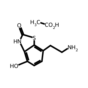 CC(=O)O.NCCc1ccc(O)c2[nH]c(=O)sc12